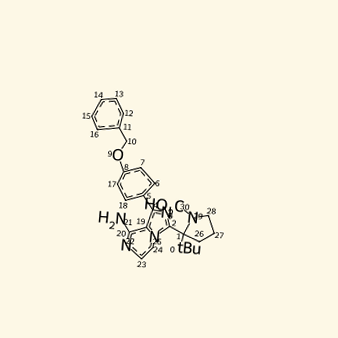 CC(C)(C)C1(c2nc(-c3ccc(OCc4ccccc4)cc3)c3c(N)nccn23)CCCN1C(=O)O